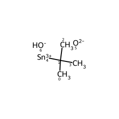 C[C](C)(C)[Sn+3].[O-2].[OH-]